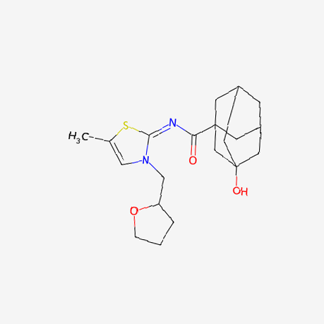 Cc1cn(CC2CCCO2)c(=NC(=O)C23CC4CC(CC(O)(C4)C2)C3)s1